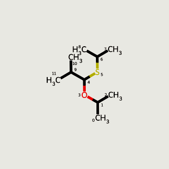 CC(C)OC(SC(C)C)C(C)C